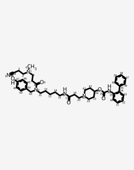 CN(CCC#N)CCC(=O)N(CCCCCNC(=O)CCN1CCC(OC(=O)Nc2ccccc2-c2ccccc2)CC1)Cc1ccc(O)cc1